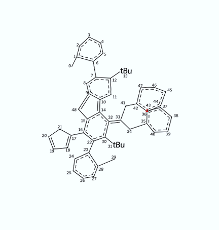 Cc1ccccc1-c1cc2c(cc1C(C)(C)C)=c1c(c(C3=CC=CC3)c(-c3ccccc3C)c(C(C)(C)C)c1=C(Cc1ccccc1)Cc1ccccc1)C=2